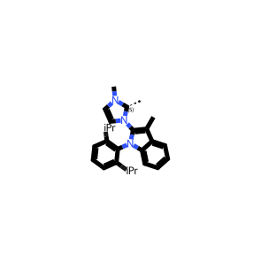 Cc1c(N2C=CN(C)[C@@H]2C)n(-c2c(C(C)C)cccc2C(C)C)c2ccccc12